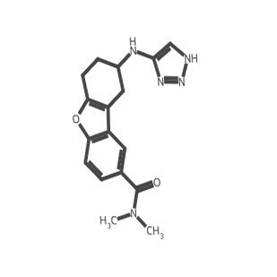 CN(C)C(=O)c1ccc2oc3c(c2c1)CC(Nc1c[nH]nn1)CC3